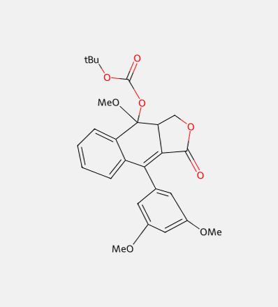 COc1cc(OC)cc(C2=C3C(=O)OCC3C(OC)(OC(=O)OC(C)(C)C)c3ccccc32)c1